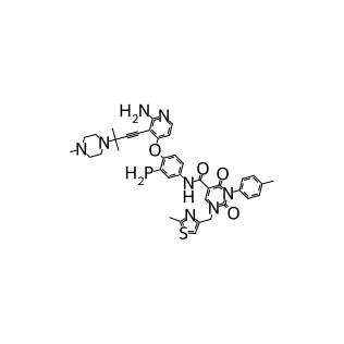 Cc1ccc(-n2c(=O)c(C(=O)Nc3ccc(Oc4ccnc(N)c4C#CC(C)(C)N4CCN(C)CC4)c(P)c3)cn(Cc3csc(C)n3)c2=O)cc1